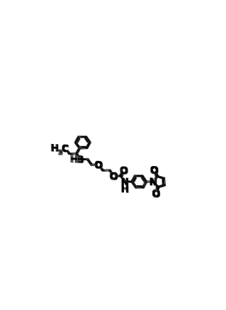 CCC(BCCOCCOC(=O)Nc1ccc(N2C(=O)C=CC2=O)cc1)c1ccccc1